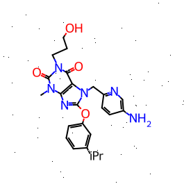 CC(C)c1cccc(Oc2nc3c(c(=O)n(CCCO)c(=O)n3C)n2Cc2ccc(N)cn2)c1